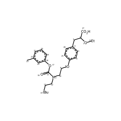 CCOC(Cc1ccc(OCCN(CCC(C)(C)C)C(=O)Oc2cccc(C)c2)cc1)C(=O)O